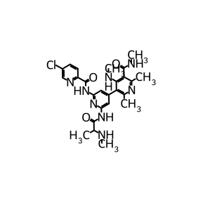 CNC(=O)c1c(C)nc(C)c(-c2cc(NC(=O)c3ccc(Cl)cn3)nc(NC(=O)C(C)NC)c2)c1NC